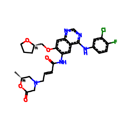 C[C@@H]1CN(CC=CC(=O)Nc2cc3c(Nc4ccc(F)c(Cl)c4)ncnc3cc2OC[C@@H]2CCCO2)CC(=O)O1